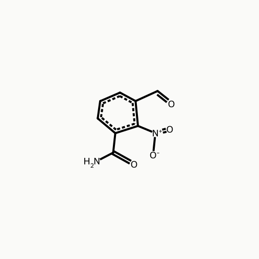 NC(=O)c1cccc(C=O)c1[N+](=O)[O-]